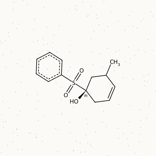 CC1C=CC[C@](O)(S(=O)(=O)c2ccccc2)C1